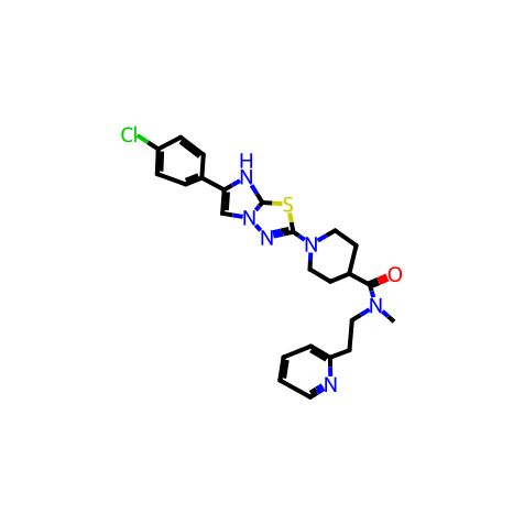 CN(CCc1ccccn1)C(=O)C1CCN(C2=NN3C=C(c4ccc(Cl)cc4)NC3S2)CC1